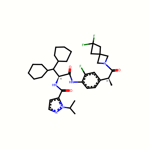 CC(C)n1nccc1C(=O)N[C@H](C(=O)Nc1ccc([C@H](C)C(=O)N2CC3(C2)CC(F)(F)C3)cc1F)C(C1CCCCC1)C1CCCCC1